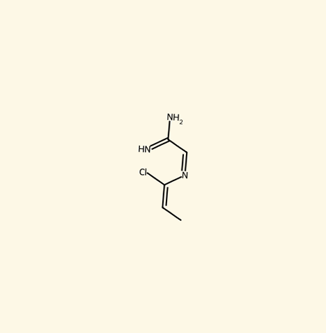 C/C=C(Cl)\N=C/C(=N)N